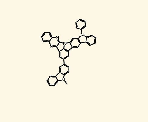 Cn1c2ccccc2c2cc(-c3cc4c5cc6c7ccccc7n(-c7ccccc7)c6cc5n5c6nc7ccccc7nc6c(c3)c45)ccc21